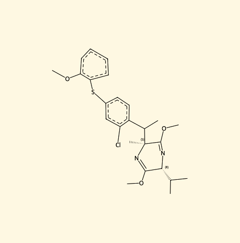 COC1=N[C@@](C)(C(C)c2ccc(Sc3ccccc3OC)cc2Cl)C(OC)=N[C@@H]1C(C)C